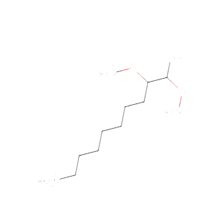 CCCCCCCCC(OS(=O)(=O)O)C(CCCCCCCC(=O)O)OS(=O)(=O)O